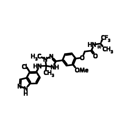 COc1cc(C2=NN(C)C(C)(Nc3ccc4[nH]ncc4c3Cl)N2)ccc1OCC(=O)N[C@H](C)C(F)(F)F